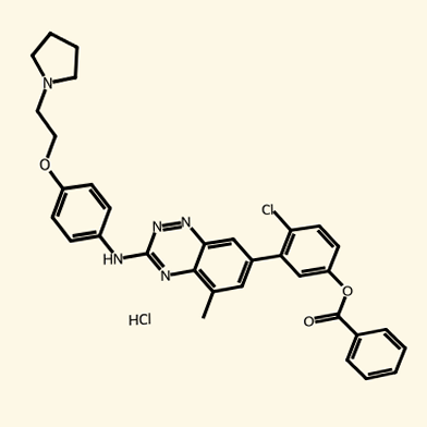 Cc1cc(-c2cc(OC(=O)c3ccccc3)ccc2Cl)cc2nnc(Nc3ccc(OCCN4CCCC4)cc3)nc12.Cl